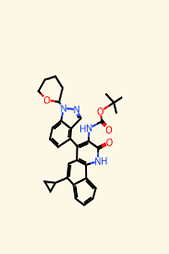 CC(C)(C)OC(=O)Nc1c(-c2cccc3c2cnn3C2CCCCO2)c2cc(C3CC3)c3ccccc3c2[nH]c1=O